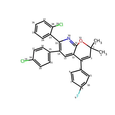 CC1(C)C=C(c2ccc(F)cc2)c2cc(-c3ccc(Cl)cc3)c(-c3ccccc3Cl)nc2O1